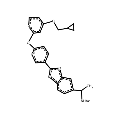 CC(=O)NC(C)c1ccc2nc(-c3ccc(Oc4cc(OCC5CC5)ccn4)nc3)oc2c1